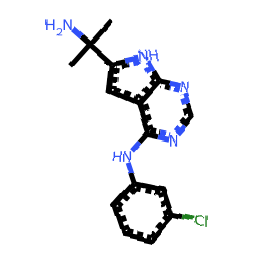 CC(C)(N)c1cc2c(Nc3cccc(Cl)c3)ncnc2[nH]1